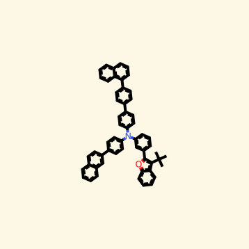 CC(C)(C)c1c(-c2cccc(N(c3ccc(-c4ccc(-c5cccc6ccccc56)cc4)cc3)c3ccc(-c4ccc5ccccc5c4)cc3)c2)oc2ccccc12